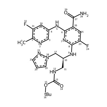 Cc1ncc(Nc2nc(N[C@@H](CNC(=O)OC(C)(C)C)Cn3cccn3)c(F)cc2C(N)=O)cc1F